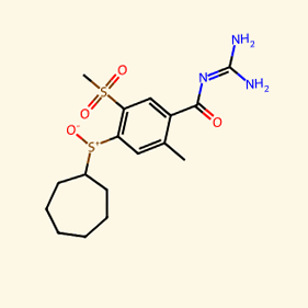 Cc1cc([S+]([O-])C2CCCCCC2)c(S(C)(=O)=O)cc1C(=O)N=C(N)N